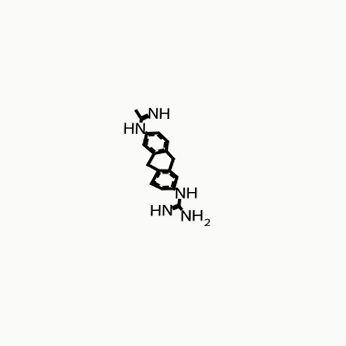 CC(=N)Nc1ccc2c(c1)Cc1ccc(NC(=N)N)cc1C2